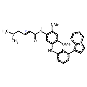 CNc1cc(OC)c(Nc2nccc(-n3ccc4cccnc43)n2)cc1NC(=O)/C=C/CN(C)C